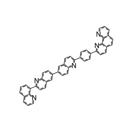 c1cnc2c(-c3ccc4cc(-c5ccc6nc(-c7ccc(-c8ccc9ccc%10cccnc%10c9n8)cc7)ccc6c5)ccc4n3)cccc2c1